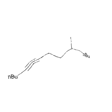 [CH2]CCCC#CCCC(C)CCC[CH2]